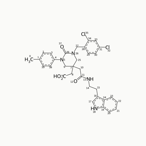 Cc1ccc(N2CC(CC(=O)O)(CC(=O)NCCc3c[nH]c4ccccc34)CN(Cc3ccc(Cl)cc3Cl)C2=O)cc1